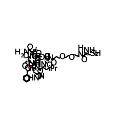 CC(C)C[C@H](NC(=O)[C@@H]1CCCN1C(=O)CCOCCOCCNC(=O)[C@@H](N)CS)C(=O)N[C@@H](Cc1cnc[nH]1)C(=O)N[C@@H](CO)C(=O)N[C@H](C(N)=O)[C@@H](C)OP(=O)(O)OCCCCCc1ccccc1